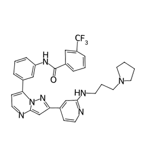 O=C(Nc1cccc(-c2ccnc3cc(-c4ccnc(NCCCN5CCCC5)c4)nn23)c1)c1cccc(C(F)(F)F)c1